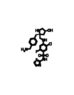 NCc1ccc(C[C@@]2(CNc3cc(F)c(S(=O)(=O)Nc4nccs4)cc3Cl)C[C@H](O)CN2)cc1